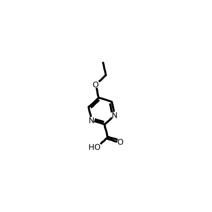 CCOc1cnc(C(=O)O)nc1